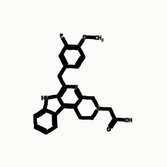 COc1ccc(Cc2nc3c(c4c2[nH]c2ccccc24)CCN(CC(=O)O)C3)cc1F